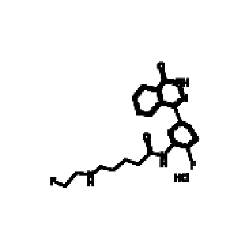 Cl.O=C(CCCCNCCF)Nc1cc(-c2n[nH]c(=O)c3ccccc23)ccc1F